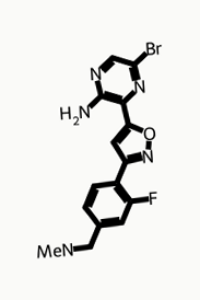 CNCc1ccc(-c2cc(-c3nc(Br)cnc3N)on2)c(F)c1